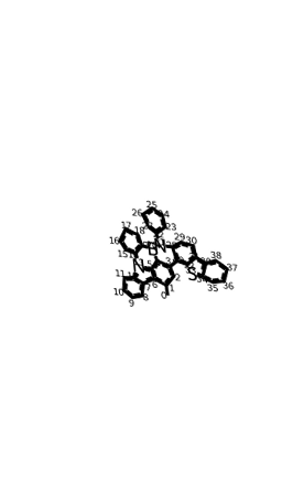 Cc1cc2c3c4c1c1ccccc1n4-c1ccccc1B3N(c1ccccc1)c1ccc3c(sc4ccccc43)c1-2